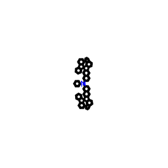 c1ccc(N(c2ccc3cc4c(cc3c2)C2(c3ccccc3-c3ccccc32)c2c-4ccc3ccccc23)c2ccc3cc4c(cc3c2)C2(c3ccccc3-c3ccccc32)c2c-4ccc3ccccc23)cc1